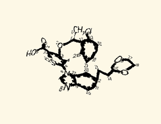 C[C@@H](Oc1cc(-n2cnc3ccc(CCC4OCCO4)cc32)sc1C(=O)O)c1ccccc1Cl